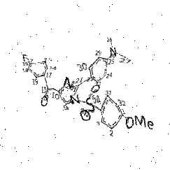 COc1ccc(S(=O)(=O)n2cc(C(=O)c3ccc(F)cc3)nc2-c2ccc(N(C)C)cc2)cc1